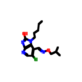 CCCCCn1c(O)nc2ncc(Cl)c(/C=N/OCC(C)C)c21